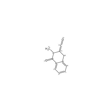 CC1C(=O)c2ccccc2CC1=C=O